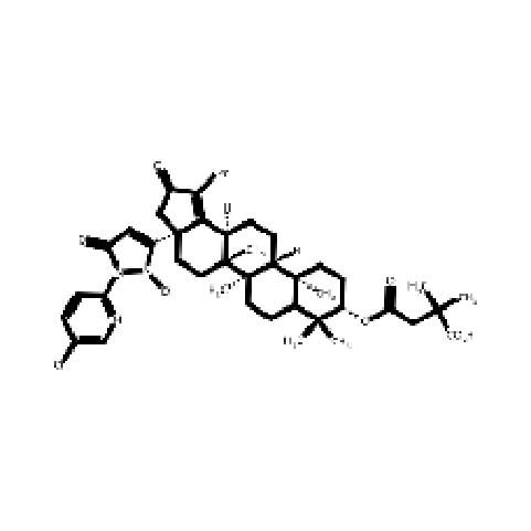 CCn1c([C@@]23CC[C@]4(C)[C@H](CC[C@@H]5[C@@]6(C)CC[C@H](OC(=O)CC(C)(C)C(=O)O)C(C)(C)C6CC[C@]54C)C2=C(C(C)C)C(=O)C3)cc(=O)n1-c1ccc(Cl)cn1